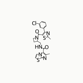 Cc1nc(-c2cccc(Cl)c2)c(C(=O)N2CCC2CNC(=O)c2c(C)nc3sccn23)s1